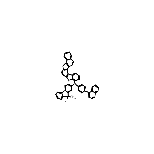 CC1(C)c2ccccc2-c2ccc(N(c3ccc(-c4cccc5ccccc45)cc3)c3cccc4c3sc3ccc5c(c34)-c3ccc4ccccc4c3C5)cc21